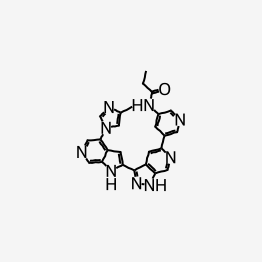 CCC(=O)Nc1cncc(-c2cc3c(-c4cc5c(-n6cnc(C)c6)cncc5[nH]4)n[nH]c3cn2)c1